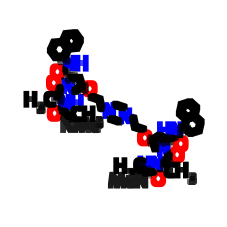 CN[C@@H](C)C(=O)N[C@@H](C)C(=O)N1C[C@@H](OCCCN2CCN(CCCO[C@H]3C[C@@H](C(=O)N[C@@H]4CCCc5ccccc54)N(C(=O)[C@H](C)NC(=O)[C@H](C)NC)C3)CC2)C[C@H]1C(=O)N[C@@H]1CCCc2ccccc21